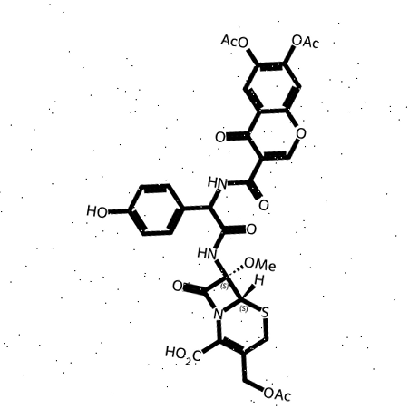 CO[C@@]1(NC(=O)C(NC(=O)c2coc3cc(OC(C)=O)c(OC(C)=O)cc3c2=O)c2ccc(O)cc2)C(=O)N2C(C(=O)O)=C(COC(C)=O)CS[C@H]21